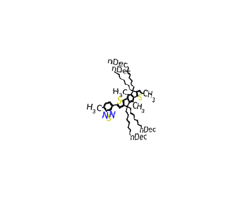 CCCCCCCCCCCCCCCCCC1(CCCCCCCCCCCCCCCCC)c2cc(C)sc2-c2c(C)c3c(c(C)c21)-c1sc(-c2ccc(C)c4nsnc24)cc1C3(CCCCCCCCCCCCCCCCC)CCCCCCCCCCCCCCCCC